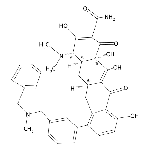 CN(Cc1ccccc1)Cc1cccc(-c2ccc(O)c3c2C[C@H]2C[C@H]4[C@H](N(C)C)C(O)=C(C(N)=O)C(=O)[C@@]4(O)C(O)=C2C3=O)c1